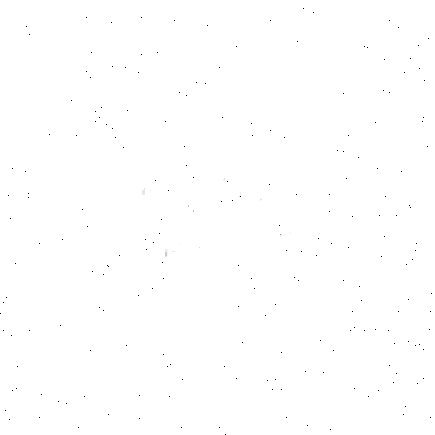 C[C](C)CN1CCc2cc(Br)sc2C1CC(C)C